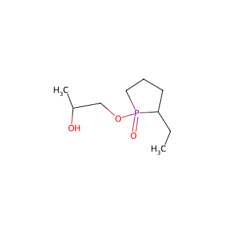 CCC1CCCP1(=O)OCC(C)O